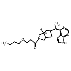 CCCCOCCC(=O)N1CC2CC(N(C)c3ncnc4[nH]ccc34)C[C@H]2C1